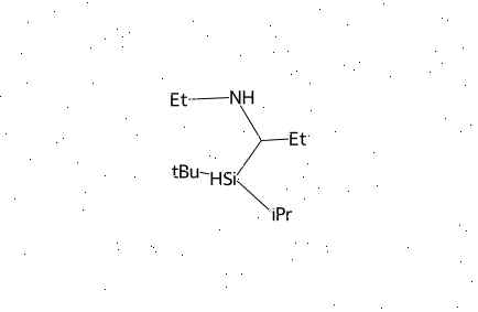 CCNC(CC)[SiH](C(C)C)C(C)(C)C